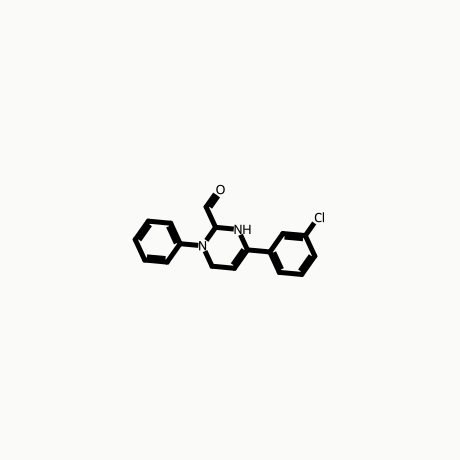 O=CC1NC(c2cccc(Cl)c2)=CCN1c1ccccc1